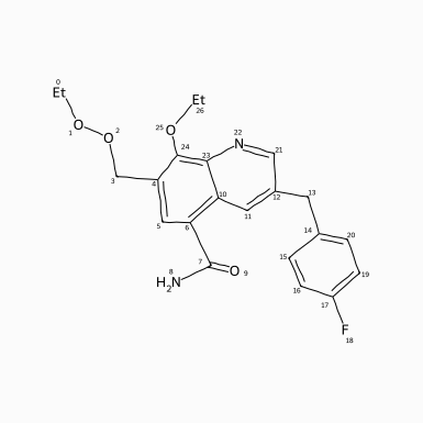 CCOOCc1cc(C(N)=O)c2cc(Cc3ccc(F)cc3)cnc2c1OCC